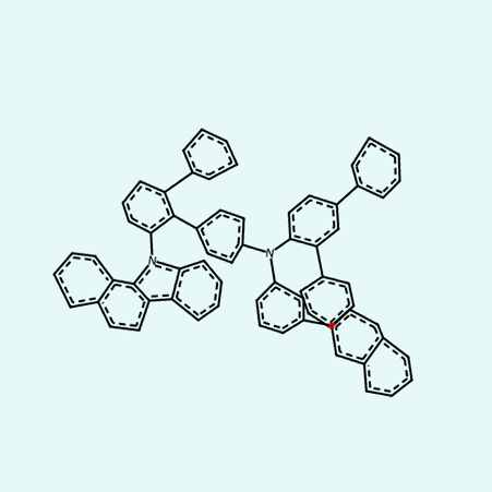 c1ccc(-c2ccc(N(c3ccc(-c4c(-c5ccccc5)cccc4-n4c5ccccc5c5ccc6ccccc6c54)cc3)c3cccc(-c4ccc5ccccc5c4)c3)c(-c3ccccc3)c2)cc1